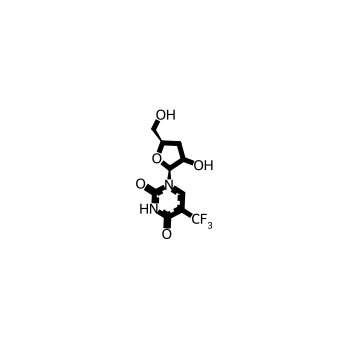 O=c1[nH]c(=O)n([C@H]2O[C@@H](CO)CC2O)cc1C(F)(F)F